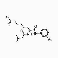 CCC(=O)CCCCC[C@H](NC(=O)CN(C)C)C(=O)Nc1cccc(C(C)=O)c1